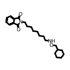 O=C1c2ccccc2C(=O)N1CCCCCCCCNOCC1CCCCC1